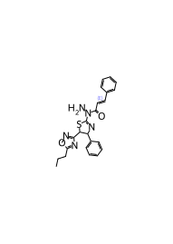 CCCc1nc(C2SC(N(N)C(=O)/C=C/c3ccccc3)=NC2c2ccccc2)no1